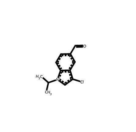 CC(C)n1cc(Cl)c2cc(C=O)ccc21